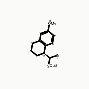 CCOC(=O)C(Br)[C@H]1CCCc2cc(OC)ccc21